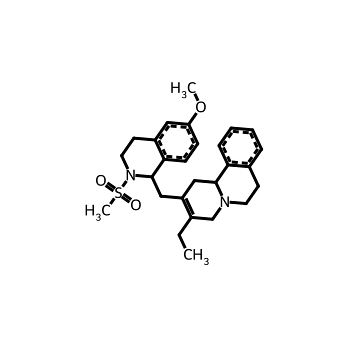 CCC1=C(CC2c3ccc(OC)cc3CCN2S(C)(=O)=O)CC2c3ccccc3CCN2C1